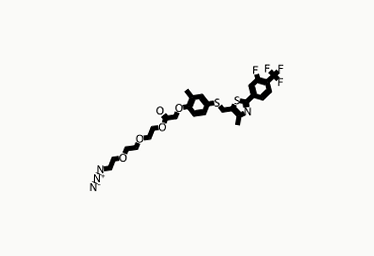 Cc1cc(SCc2sc(-c3ccc(C(F)(F)F)c(F)c3)nc2C)ccc1OCC(=O)OCCOCCOCCN=[N+]=[N-]